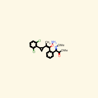 CON=C(C(=O)OC)c1ccccc1C(ON)=C(C)C1CC1c1c(Cl)cccc1Cl